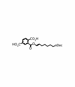 CCCCCCCCCCCCCCCC=COC(=O)c1cc(C(=O)O)ccc1C(=O)O